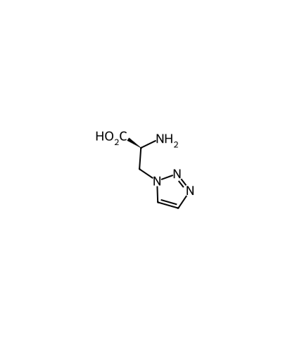 N[C@@H](Cn1ccnn1)C(=O)O